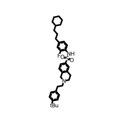 CC(C)(C)c1ccc(CCN2CCc3cc(S(=O)(=O)Nc4ccc(CCCC5CCCCC5)cc4F)ccc3C2)cc1